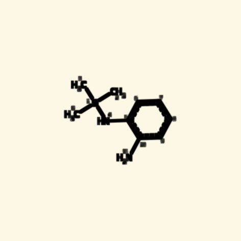 C[Si](C)(C)Nc1ccccc1N